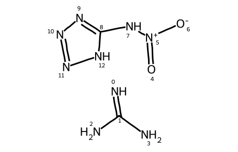 N=C(N)N.O=[N+]([O-])Nc1nnn[nH]1